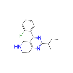 CCC(C)c1nc2c(c(-c3ccccc3F)n1)CNCC2